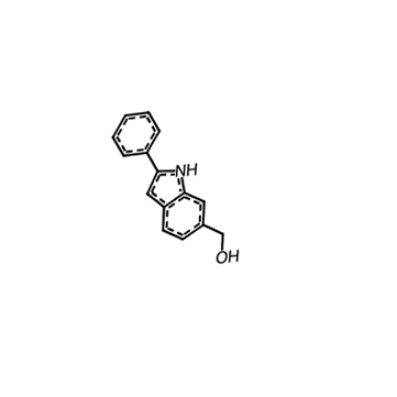 OCc1ccc2cc(-c3ccccc3)[nH]c2c1